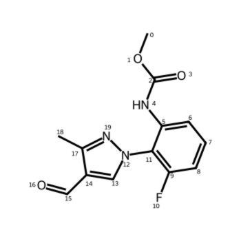 COC(=O)Nc1cccc(F)c1-n1cc(C=O)c(C)n1